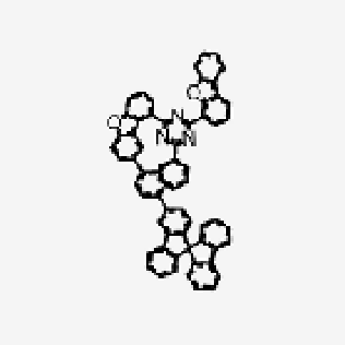 c1ccc(-c2nc(-c3cccc4c3oc3ccccc34)nc(-c3cccc4oc5ccc(-c6ccc(-c7ccc8c(c7)-c7ccccc7C87c8ccccc8-c8ccccc87)cc6)cc5c34)n2)cc1